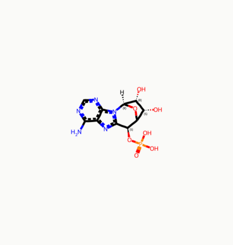 Nc1ncnc2c1nc1n2[C@@H]2OC([C@@H](O)[C@H]2O)[C@H]1OP(=O)(O)O